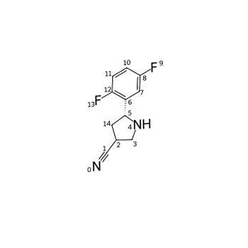 N#CC1CN[C@@H](c2cc(F)ccc2F)C1